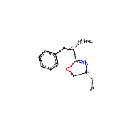 CC(=O)N[C@@H](Cc1ccccc1)C1=N[C@H](CC(C)C)CO1